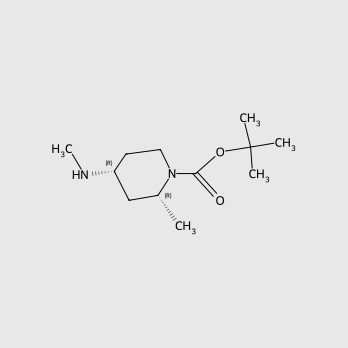 CN[C@@H]1CCN(C(=O)OC(C)(C)C)[C@H](C)C1